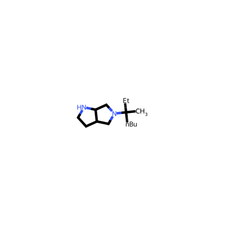 CCCCC(C)(CC)N1CC2CCNC2C1